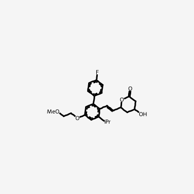 COCCOc1cc(-c2ccc(F)cc2)c(C=CC2CC(O)CC(=O)O2)c(C(C)C)c1